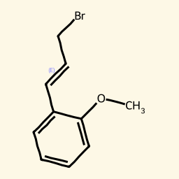 COc1ccccc1/C=C/CBr